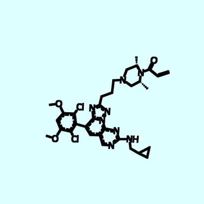 C=CC(=O)N1[C@H](C)CN(CCCc2nc3c(-c4c(Cl)c(OC)cc(OC)c4Cl)cc4cnc(NCC5CC5)nc4n3n2)C[C@@H]1C